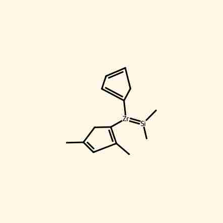 CC1=CC(C)=[C]([Zr]([C]2=CC=CC2)=[Si](C)C)C1